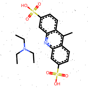 CCN(CC)CC.Cc1c2ccc(S(=O)(=O)O)cc2nc2cc(S(=O)(=O)O)ccc12